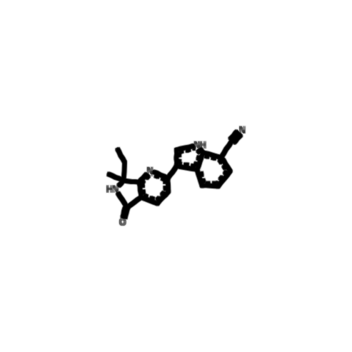 CCC1(C)NC(=O)c2ccc(-c3c[nH]c4c(C#N)cccc34)nc21